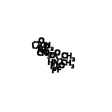 CC(C)C(NC(=O)C(F)(F)F)C(=O)OCOC(=O)N(C)[C@]1(C)CCCCC1=O